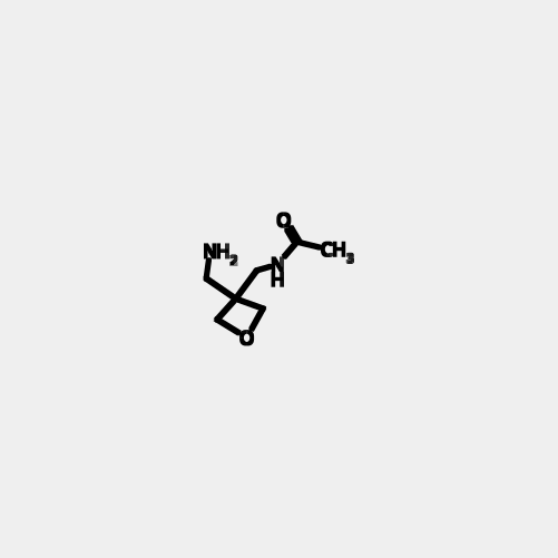 CC(=O)NCC1(CN)COC1